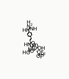 N=C(N)Nc1ccc(C=CC(=O)N[C@@H](CC(=O)O)C(=O)N[C@@H](COC(=O)C(F)(F)F)C(=O)O)cc1